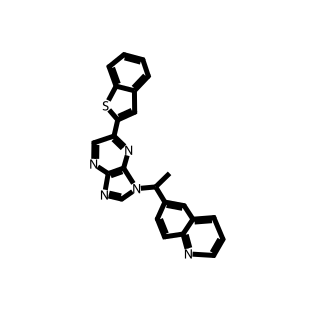 CC(c1ccc2ncccc2c1)n1cnc2ncc(-c3cc4ccccc4s3)nc21